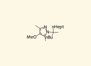 CCCCCCCC(C)(CCCC)n1nc(C)c(OC)c1C